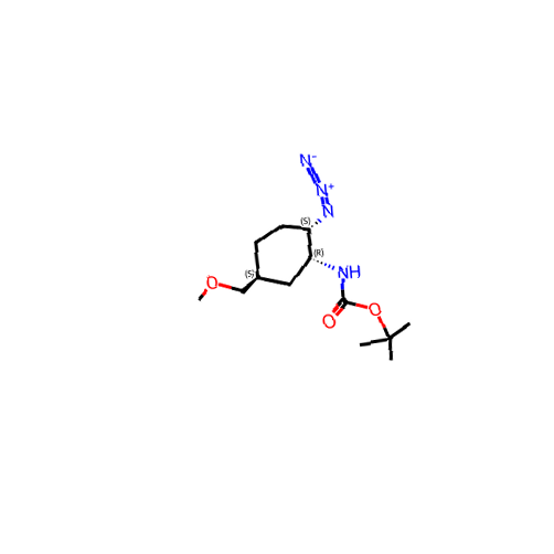 COC[C@H]1CC[C@H](N=[N+]=[N-])[C@H](NC(=O)OC(C)(C)C)C1